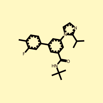 Cc1ccc(-c2cc(C(=O)NC(C)(C)C)cc(-n3ccnc3C(C)C)c2)cc1F